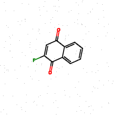 O=C1C=C(F)C(=O)c2ccccc21